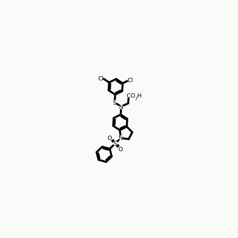 O=C(O)CN(Sc1cc(Cl)cc(Cl)c1)c1ccc2c(c1)CCN2S(=O)(=O)c1ccccc1